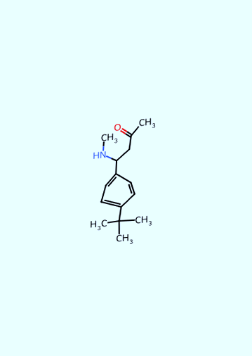 CNC(CC(C)=O)c1ccc(C(C)(C)C)cc1